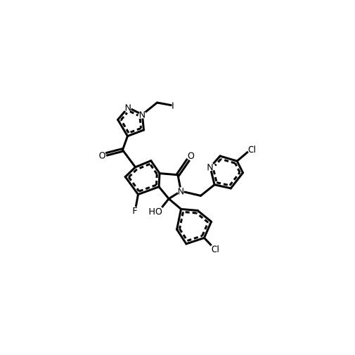 O=C(c1cc(F)c2c(c1)C(=O)N(Cc1ccc(Cl)cn1)C2(O)c1ccc(Cl)cc1)c1cnn(CI)c1